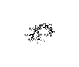 CCCC(CCC)COC(=O)[C@H](C)NP(=O)(OCCNC(=O)OC(C)(C)C)OP(=O)(O)OCC1O[C@@H](n2cnc3c(=O)[nH]c(N)nc32)[C@H](O)[C@@H]1O